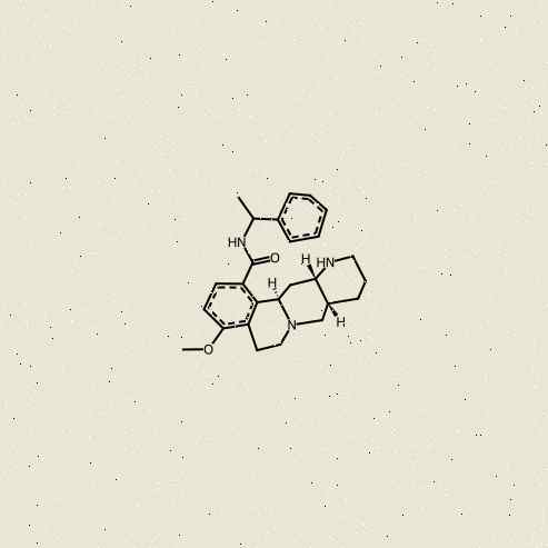 COc1ccc(C(=O)NC(C)c2ccccc2)c2c1CCN1C[C@H]3CCCN[C@H]3C[C@H]21